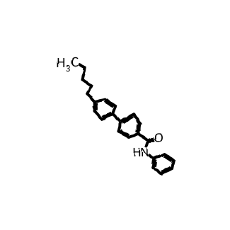 CCCCCc1ccc(-c2ccc(C(=O)Nc3ccccc3)cc2)cc1